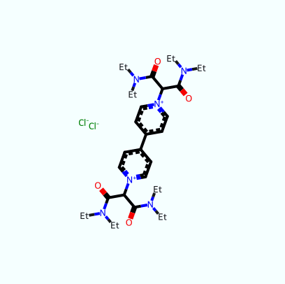 CCN(CC)C(=O)C(C(=O)N(CC)CC)[n+]1ccc(-c2cc[n+](C(C(=O)N(CC)CC)C(=O)N(CC)CC)cc2)cc1.[Cl-].[Cl-]